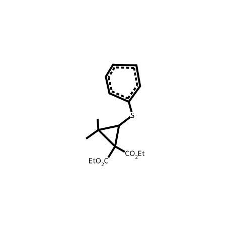 CCOC(=O)C1(C(=O)OCC)C(Sc2ccccc2)C1(C)C